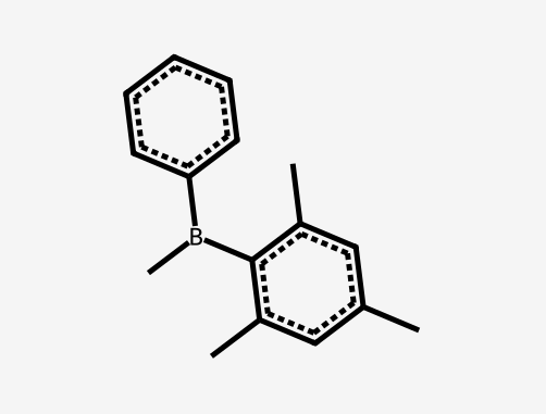 CB(c1ccccc1)c1c(C)cc(C)cc1C